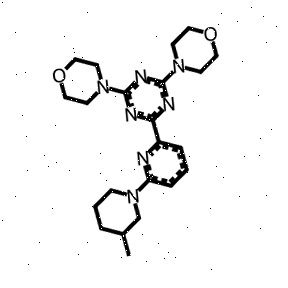 CC1CCCN(c2cccc(-c3nc(N4CCOCC4)nc(N4CCOCC4)n3)n2)C1